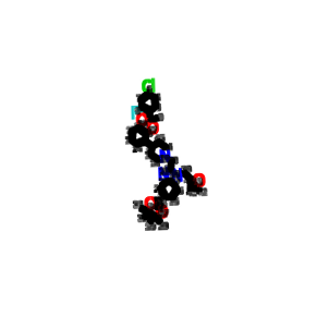 CC1(c2ccc(Cl)cc2F)Oc2cccc(C3CCN(Cc4nc5cc(B6OC(C)(C)C(C)(C)O6)ccc5n4CC4CCO4)CC3)c2O1